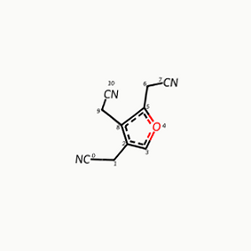 N#CCc1coc(CC#N)c1CC#N